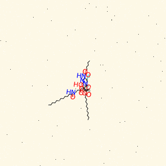 CCCCCCCCCCCC(=O)NCCC(=O)O[C@@H]1[C@H](OC(=O)CCCCCCCCCCC)[C@@H](C)O[C@H]1N1C=C(F)C(NC(=O)OCCCCC)=NC1O